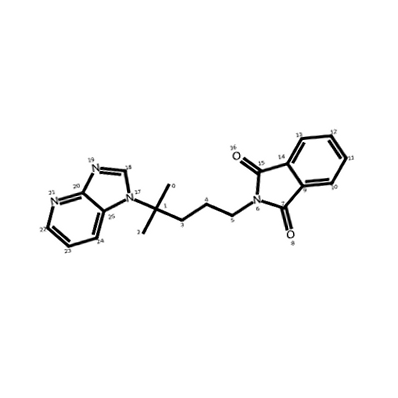 CC(C)(CCCN1C(=O)c2ccccc2C1=O)n1cnc2ncccc21